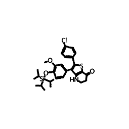 COc1cc(-c2c(-c3ccc(Cl)cc3)sc3c2NCCC3=O)ccc1O[Si](C(C)C)(C(C)C)C(C)C